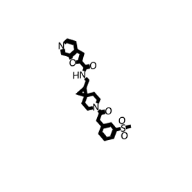 CS(=O)(=O)c1cccc(CC(=O)N2CCC3(CC2)CC3CNC(=O)c2cc3ccncc3o2)c1